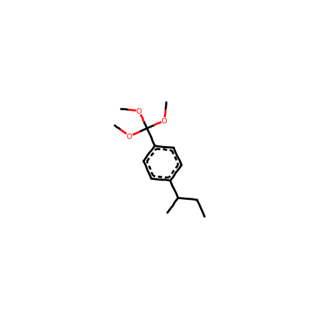 CCC(C)c1ccc(C(OC)(OC)OC)cc1